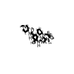 CCN1CCC(NC(=O)c2ccc(Nc3ncc4c(n3)N(C3CCCCC3)CC(F)(F)C(=O)N4C)c(OC)c2)CC1